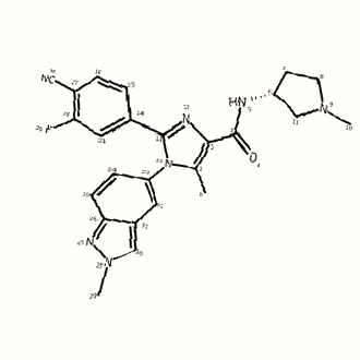 Cc1c(C(=O)N[C@@H]2CCN(C)C2)nc(-c2ccc(C#N)c(F)c2)n1-c1ccc2nn(C)cc2c1